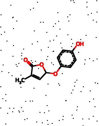 CC1=CC(Oc2ccc(O)cc2)OC1=O